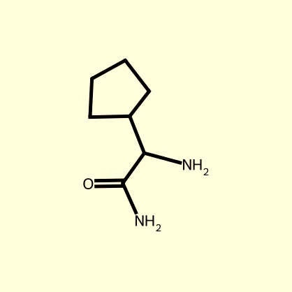 NC(=O)C(N)C1CCCC1